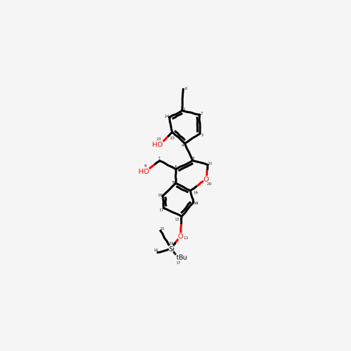 Cc1ccc(C2=C(CO)c3ccc(O[Si](C)(C)C(C)(C)C)cc3OC2)c(O)c1